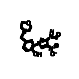 O=CNc1nn(-c2cc(CN3CCOCC3)ccc2O)cc1[N+](=O)[O-]